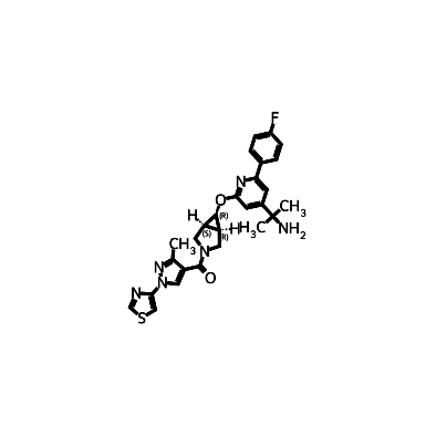 Cc1nn(-c2cscn2)cc1C(=O)N1C[C@@H]2[C@H](C1)[C@@H]2Oc1cc(C(C)(C)N)cc(-c2ccc(F)cc2)n1